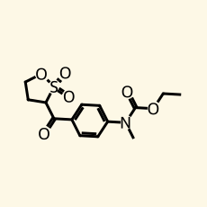 CCOC(=O)N(C)c1ccc(C(=O)C2CCOS2(=O)=O)cc1